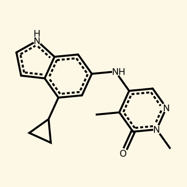 Cc1c(Nc2cc(C3CC3)c3cc[nH]c3c2)cnn(C)c1=O